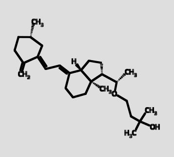 C=C1CC[C@H](C)C/C1=C\C=C1/CCC[C@]2(C)[C@@H]([C@H](C)OCCC(C)(C)O)CC[C@@H]12